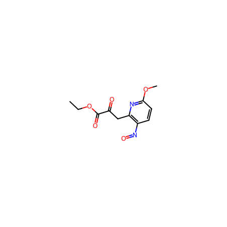 CCOC(=O)C(=O)Cc1nc(OC)ccc1N=O